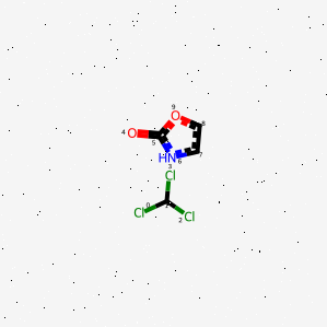 ClC(Cl)Cl.O=c1[nH]cco1